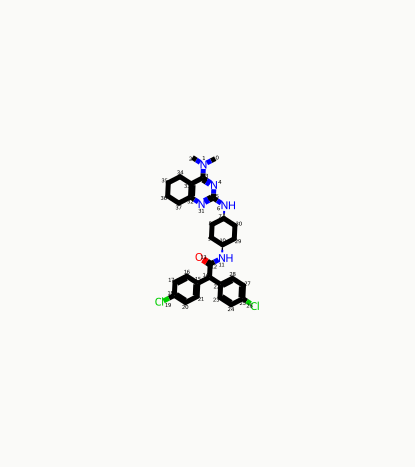 CN(C)c1nc(N[C@H]2CC[C@@H](NC(=O)C(c3ccc(Cl)cc3)c3ccc(Cl)cc3)CC2)nc2c1CCCC2